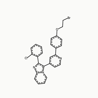 Clc1ccccc1-c1nc2ccccn2c1-c1ccnc(-c2ccc(OCCBr)cc2)c1